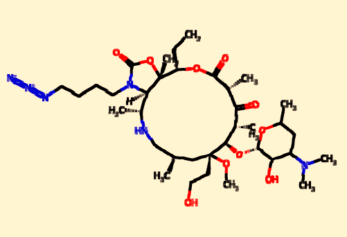 CC[C@H]1OC(=O)[C@H](C)C(=O)[C@H](C)[C@@H](O[C@@H]2OC(C)CC(N(C)C)C2O)[C@](CCO)(OC)C[C@@H](C)CN[C@H](C)[C@H]2N(CCCCN=[N+]=[N-])C(=O)O[C@]12C